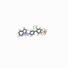 FC1(F)Oc2cc(Cl)c(-c3ccc(NC4CCc5ccccc54)cc3)cc2O1